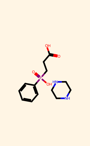 C1CNCCN1.O=C(O)CCP(=O)(O)c1ccccc1